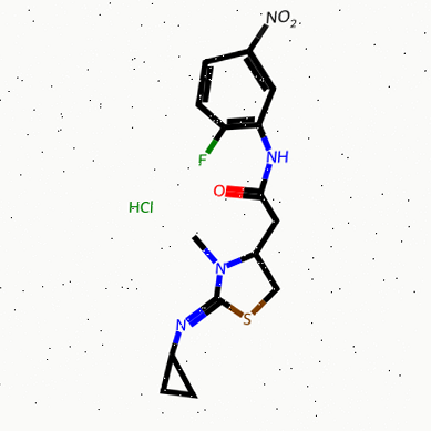 CN1C(=NC2CC2)SCC1CC(=O)Nc1cc([N+](=O)[O-])ccc1F.Cl